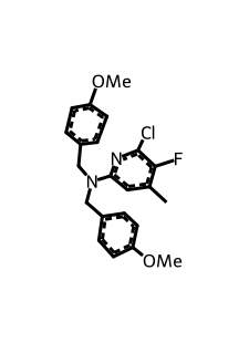 COc1ccc(CN(Cc2ccc(OC)cc2)c2cc(C)c(F)c(Cl)n2)cc1